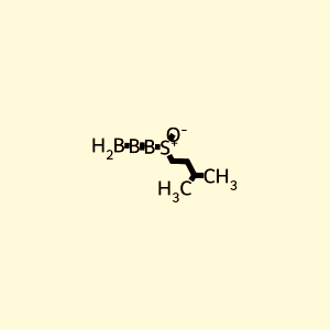 BB=B[S+]([O-])CCC(C)C